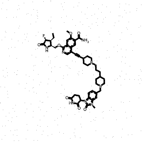 CC[C@@H]1[C@H](F)C(=O)N[C@@H]1COc1ncc(C#CC2CCN(CCCC3CCN(Cc4ccc5c(c4)n(C)c(=O)n5C4CCC(=O)NC4=O)CC3)CC2)c2cc(C(N)=O)c(OC)cc12